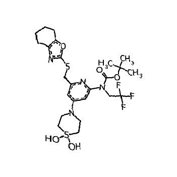 CC(C)(C)OC(=O)N(CC(F)(F)F)c1cc(N2CCS(O)(O)CC2)cc(CSc2nc3c(o2)CCCC3)n1